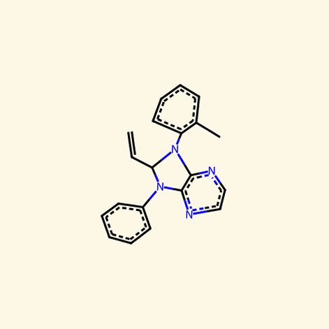 C=CC1N(c2ccccc2)c2nccnc2N1c1ccccc1C